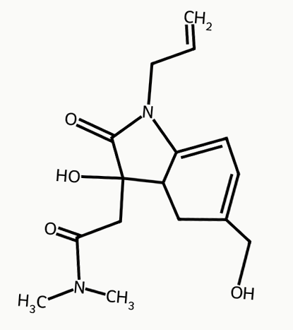 C=CCN1C(=O)C(O)(CC(=O)N(C)C)C2CC(CO)=CC=C21